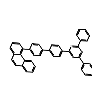 c1ccc(-c2nc(-c3ccccc3)nc(-c3ccc(-c4ccc(-c5cccc6ccc7ccccc7c56)cc4)cc3)n2)cc1